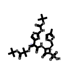 Cc1cnn(C[C@@H]2[C@H](NC(=O)/C(=N\OC(C)(C)C(=O)OC(C)(C)C)c3csc(NC(=O)OC(C)(C)C)n3)C(=O)N2S(=O)(=O)O)n1